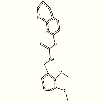 COc1cccc(CNC(=O)Oc2ccc3cccnc3n2)c1OC